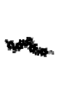 Cc1c(NC(=O)c2ccc(C(C)(C)C)cc2)cccc1-c1ncnc2[nH]c(-c3ccc(C(=O)N4CCN(C)CC4)cc3)cc12